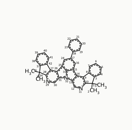 CC1(C)c2ccccc2-c2c1ncc1c2c2cc(-c3ccccc3)cc3c4c5c(ncc4n1c23)C(C)(C)c1ccccc1-5